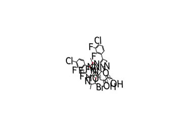 Cc1nc(C2(n3cc(-c4ccc(Cl)c(F)c4F)cn3)O[C@@H](CO)[C@@H](O)C[C@@]2(O)n2cc(-c3ccc(Cl)c(F)c3F)cn2)n(-c2cc(Br)c(C)nc2C(F)(F)F)n1